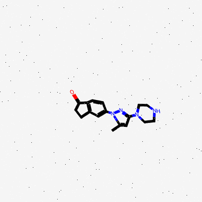 Cc1cc(N2CCNCC2)nn1-c1ccc2c(c1)CCC2=O